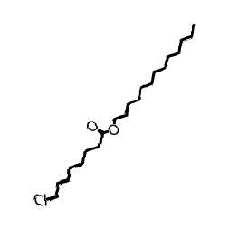 CCCCCCCCCCCCCOC(=O)CCCCCCCCl